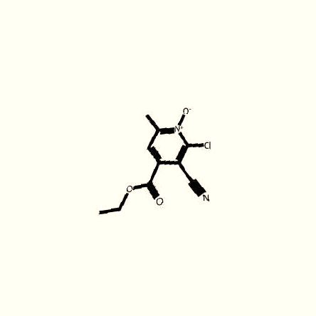 CCOC(=O)c1cc(C)[n+]([O-])c(Cl)c1C#N